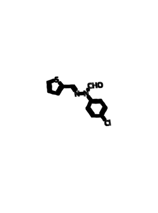 O=CN(N=Cc1cccs1)c1ccc(Cl)cc1